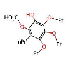 CCCc1c(OC(=O)O)c(O)c(OCC)c(OCC)c1OCC